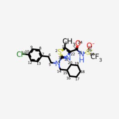 Cc1sc(N(CCc2ccc(Cl)cc2)CC2CCCCC2)nc1C(=O)N[S+]([O-])C(F)(F)F